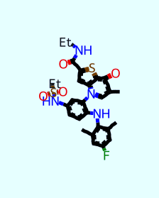 CCNC(=O)c1cc2c(s1)c(=O)c(C)cn2-c1cc(NS(=O)(=O)CC)ccc1Nc1c(C)cc(F)cc1C